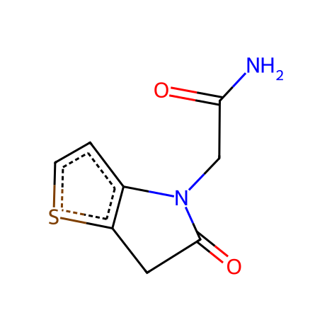 NC(=O)CN1C(=O)Cc2sccc21